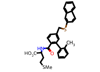 CSCCC(NC(=O)c1ccc(CSc2ccc3ccccc3c2)cc1-c1ccccc1C)C(=O)O